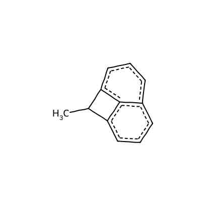 CC1c2cccc3cccc1c23